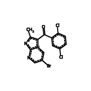 Cc1nc2ncc(Br)cn2c1C(=O)c1cc(Cl)ccc1Cl